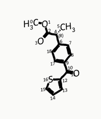 COC(=O)[C@H](C)c1ccc(C(=O)c2cccs2)cc1